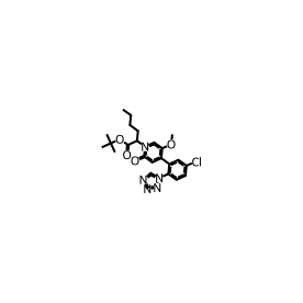 CCCCC(C(=O)OC(C)(C)C)n1cc(OC)c(-c2cc(Cl)ccc2-n2cnnn2)cc1=O